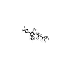 CC(C)c1c(C2CC(F)(F)C2)nn(C)c1NC(=O)O[C@@H](C)C(F)(F)F